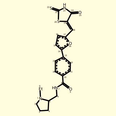 CCN1CCCC1CNC(=O)c1ccc(-c2ccc(/C=C3\SC(=S)NC3=O)o2)cc1